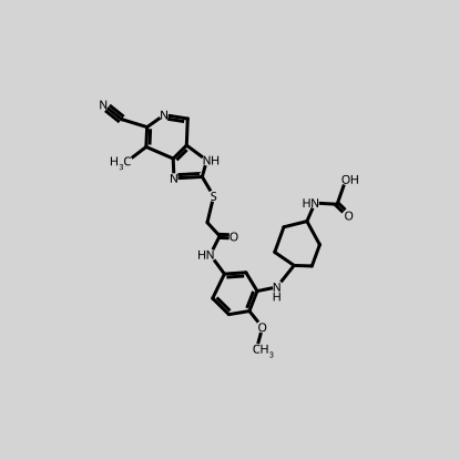 COc1ccc(NC(=O)CSc2nc3c(C)c(C#N)ncc3[nH]2)cc1NC1CCC(NC(=O)O)CC1